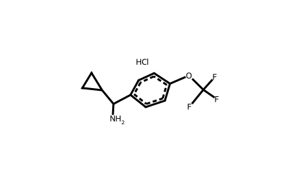 Cl.NC(c1ccc(OC(F)(F)F)cc1)C1CC1